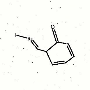 O=C1C=CC=CC1[CH]=[Ru][I]